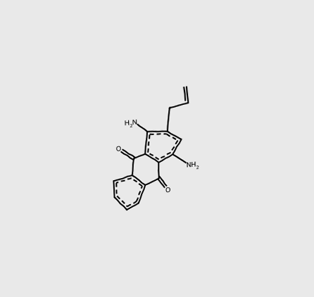 C=CCc1cc(N)c2c(c1N)C(=O)c1ccccc1C2=O